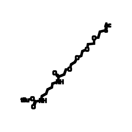 CC(=O)SCCOCCOCCOCCOCCC(=O)NCCCCCNC(=O)OC(C)(C)C